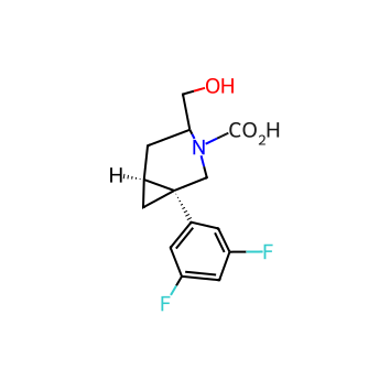 O=C(O)N1C[C@@]2(c3cc(F)cc(F)c3)C[C@H]2CC1CO